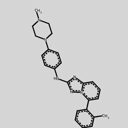 Cc1ccccc1-c1cccc2nc(Nc3ccc(N4CCN(C)CC4)cc3)nn12